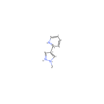 Cn1cc(-c2[c]cccn2)cn1